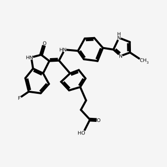 Cc1c[nH]c(-c2ccc(N/C(=C3\C(=O)Nc4cc(F)ccc43)c3ccc(CCC(=O)O)cc3)cc2)n1